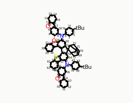 CC(C)(C)c1ccc(N(c2ccc3oc4ccccc4c3c2)c2cc3c(c4c2oc2ccccc24)-c2c(cc(N(c4ccc(C(C)(C)C)cc4)c4ccc5oc6ccccc6c5c4)c4c2sc2ccccc24)C32C3CC4CC(C3)CC2C4)cc1